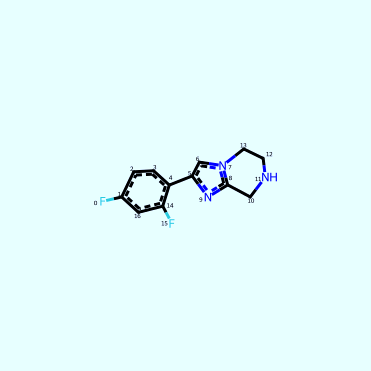 Fc1ccc(-c2cn3c(n2)CNCC3)c(F)c1